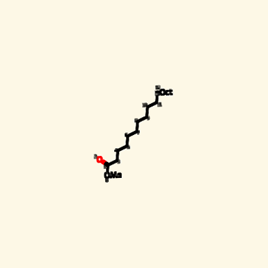 [CH2]OC(=O)CCCCCCCCCCCCCCCCC